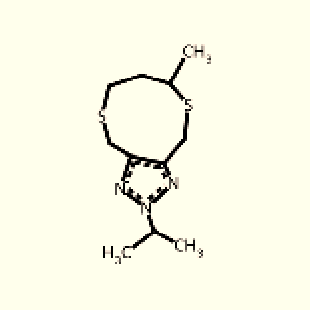 CC1CCSCc2nn(C(C)C)nc2CS1